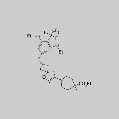 CCOC(=O)C1(C)CCN(C2=NOC3(C2)CN(Cc2cc(OCC)c(C(F)(F)C(F)(F)F)c(OCC)c2)C3)CC1